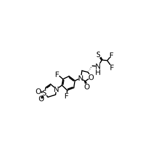 O=C1O[C@@H](CNC(=S)C(F)F)CN1c1cc(F)c(N2C=CS(=O)(=O)CC2)c(F)c1